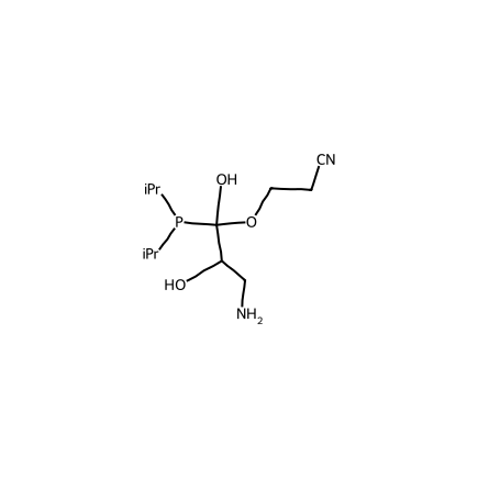 CC(C)P(C(C)C)C(O)(OCCC#N)C(O)CN